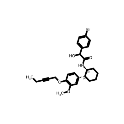 CCC#CCOc1ccc([C@H]2CCCC[C@@H]2NC(=O)C(O)c2ccc(Br)cc2)cc1OC